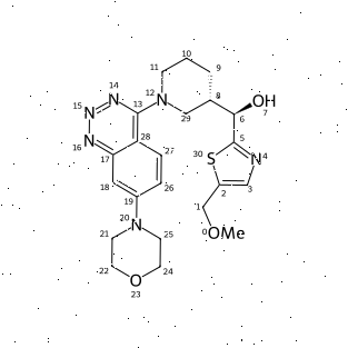 COCc1cnc([C@H](O)[C@H]2CCCN(c3nnnc4cc(N5CCOCC5)ccc34)C2)s1